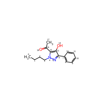 CCCCn1nc(-c2ccccc2)c(O)c1C(C)=O